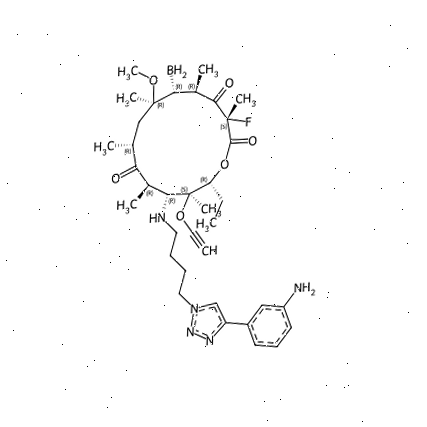 B[C@@H]1[C@@H](C)C(=O)[C@](C)(F)C(=O)O[C@H](CC)[C@@](C)(OC#C)[C@H](NCCCCn2cc(-c3cccc(N)c3)nn2)[C@@H](C)C(=O)[C@H](C)C[C@@]1(C)OC